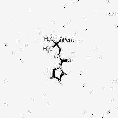 CCCCCC(C)(C)COC(=O)n1ccnc1